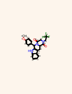 COc1ccc(C2c3[nH]c4ccccc4c3CC3C(=O)N(CC(F)(F)F)CC(=O)N32)cc1